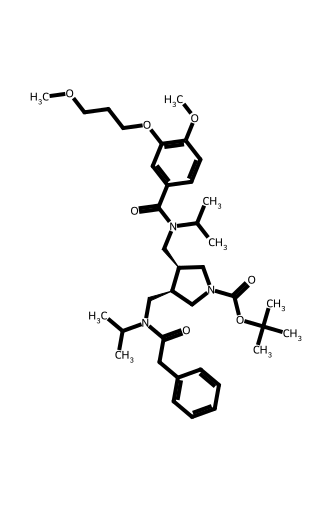 COCCCOc1cc(C(=O)N(C[C@H]2CN(C(=O)OC(C)(C)C)C[C@H]2CN(C(=O)Cc2ccccc2)C(C)C)C(C)C)ccc1OC